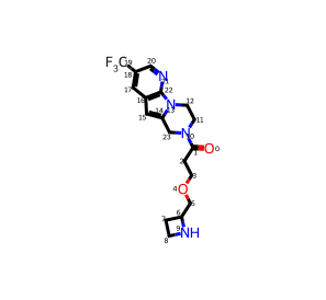 O=C(CCOCC1CCN1)N1CCn2c(cc3cc(C(F)(F)F)cnc32)C1